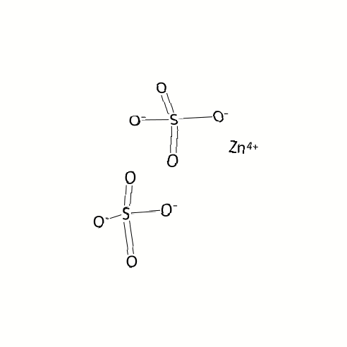 O=S(=O)([O-])[O-].O=S(=O)([O-])[O-].[Zn+4]